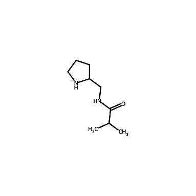 CC(C)C(=O)NCC1CCCN1